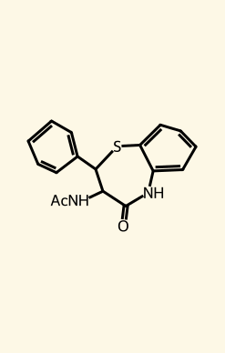 CC(=O)NC1C(=O)Nc2ccccc2SC1c1ccccc1